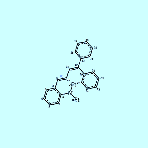 CCN(CC)c1ccccc1/C=C/C=C(c1ccccc1)c1ccccc1